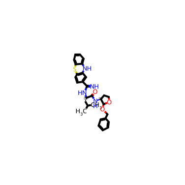 CC(C)C[C@H](NC(=N)c1ccc2c(c1)Nc1ccccc1S2)C(=O)N[C@H]1CCOC1OCc1ccccc1